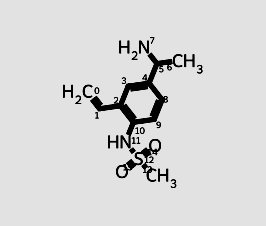 C=Cc1cc(C(C)N)ccc1NS(C)(=O)=O